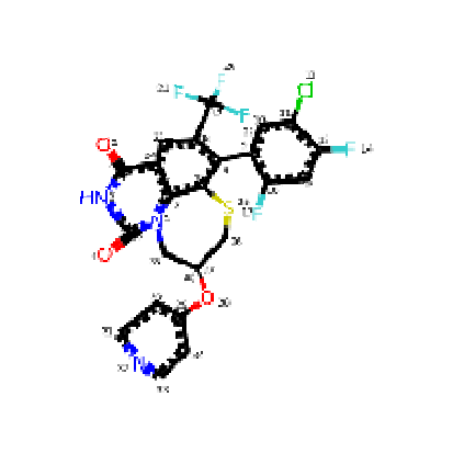 O=c1[nH]c(=O)n2c3c(c(-c4cc(Cl)c(F)cc4F)c(C(F)(F)F)cc13)SC[C@@H](Oc1ccncc1)C2